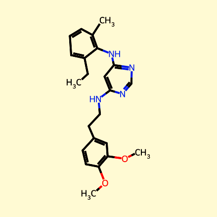 CCc1cccc(C)c1Nc1cc(NCCc2ccc(OC)c(OC)c2)ncn1